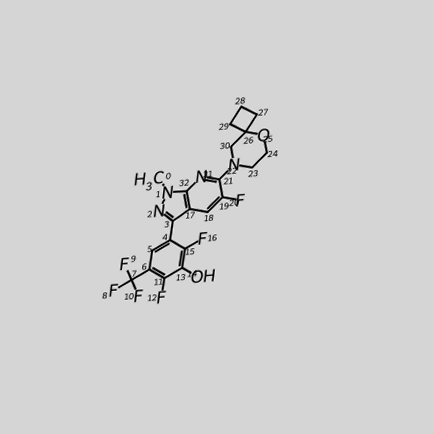 Cn1nc(-c2cc(C(F)(F)F)c(F)c(O)c2F)c2cc(F)c(N3CCOC4(CCC4)C3)nc21